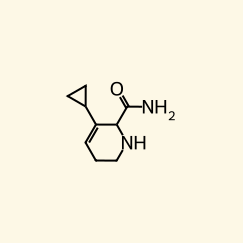 NC(=O)C1NCCC=C1C1CC1